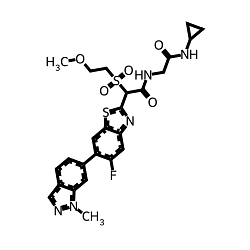 COCCS(=O)(=O)C(C(=O)NCC(=O)NC1CC1)c1nc2cc(F)c(-c3ccc4cnn(C)c4c3)cc2s1